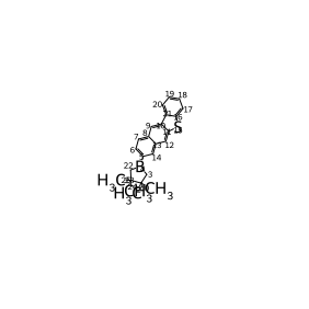 CC1(C)CB(c2ccc3cc4c(cc3c2)sc2ccccc24)CC1(C)C